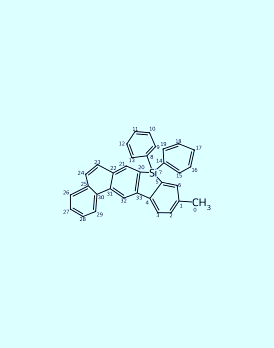 Cc1ccc2c(c1)[Si](c1ccccc1)(c1ccccc1)c1cc3ccc4ccccc4c3cc1-2